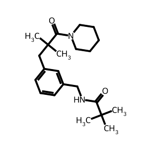 CC(C)(C)C(=O)NCc1cccc(CC(C)(C)C(=O)N2CCCCC2)c1